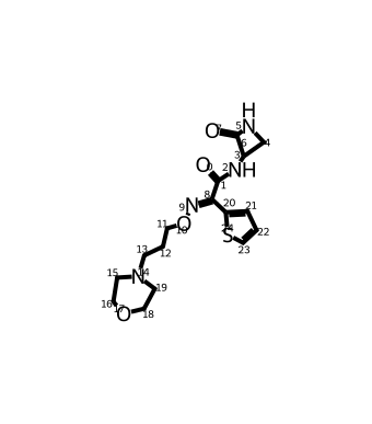 O=C(NC1CNC1=O)C(=NOCCCN1CCOCC1)c1cccs1